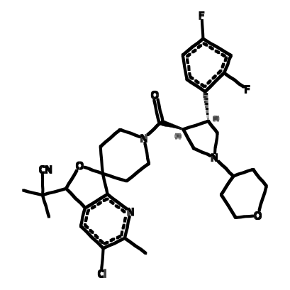 Cc1nc2c(cc1Cl)C(C(C)(C)C#N)OC21CCN(C(=O)[C@@H]2CN(C3CCOCC3)C[C@H]2c2ccc(F)cc2F)CC1